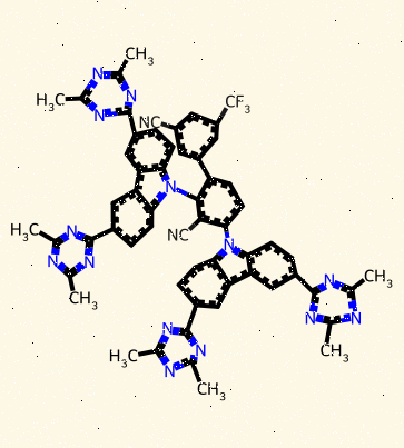 Cc1nc(C)nc(-c2ccc3c(c2)c2cc(-c4nc(C)nc(C)n4)ccc2n3-c2ccc(-c3cc(C#N)cc(C(F)(F)F)c3)c(-n3c4ccc(-c5nc(C)nc(C)n5)cc4c4cc(-c5nc(C)nc(C)n5)ccc43)c2C#N)n1